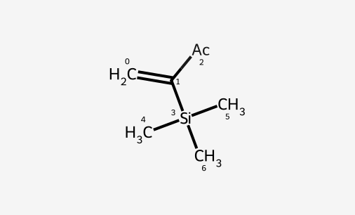 C=C(C(C)=O)[Si](C)(C)C